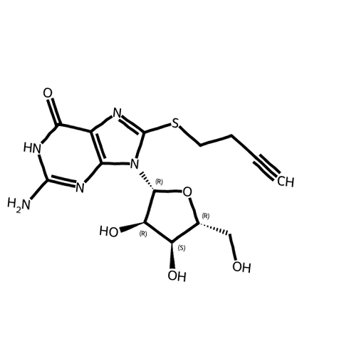 C#CCCSc1nc2c(=O)[nH]c(N)nc2n1[C@@H]1O[C@H](CO)[C@@H](O)[C@H]1O